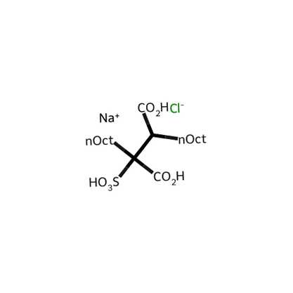 CCCCCCCCC(C(=O)O)C(CCCCCCCC)(C(=O)O)S(=O)(=O)O.[Cl-].[Na+]